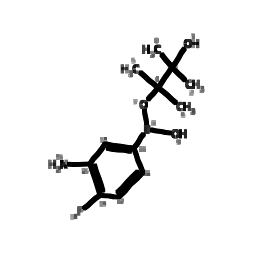 CC(C)(O)C(C)(C)OB(O)c1ccc(F)c(N)c1